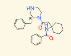 O=C(NC1(CC(=O)N2CCNC[C@H]2Cc2ccccc2)CCCCC1)c1ccccc1